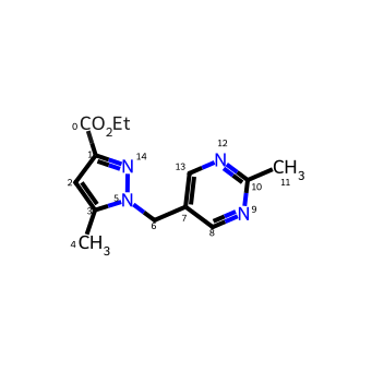 CCOC(=O)c1cc(C)n(Cc2cnc(C)nc2)n1